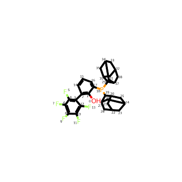 Oc1c(-c2c(F)c(F)c(F)c(F)c2F)cccc1P(C1C2CC3CC(C2)CC1C3)C1C2CC3CC(C2)CC1C3